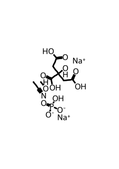 CC#N.CO.O=C(O)CC(O)(CC(=O)O)C(=O)O.O=P([O-])([O-])O.[Na+].[Na+]